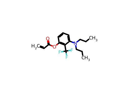 C=CC(=O)Oc1cccc(N(CCC)CCC)c1C(F)(F)F